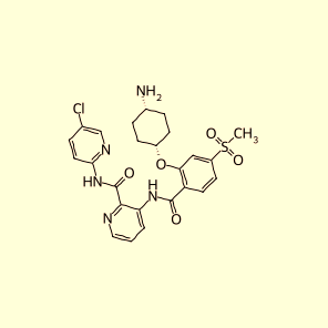 CS(=O)(=O)c1ccc(C(=O)Nc2cccnc2C(=O)Nc2ccc(Cl)cn2)c(O[C@H]2CC[C@@H](N)CC2)c1